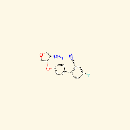 N#Cc1cc(F)ccc1-c1ccc(O[C@@H]2COC[C@@H]2N)cc1